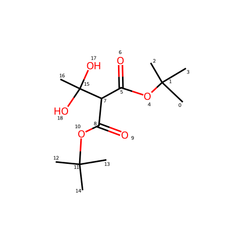 CC(C)(C)OC(=O)C(C(=O)OC(C)(C)C)C(C)(O)O